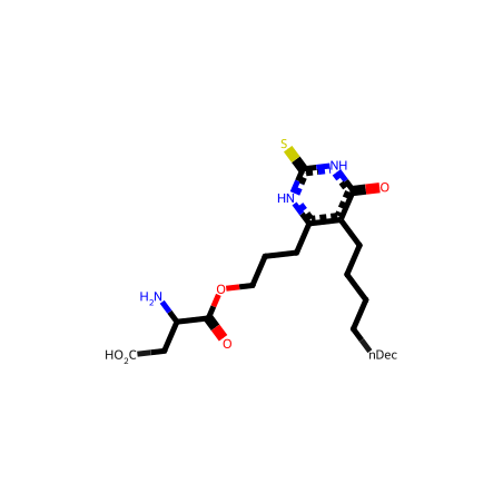 CCCCCCCCCCCCCCc1c(CCCOC(=O)C(N)CC(=O)O)[nH]c(=S)[nH]c1=O